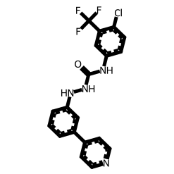 O=C(NNc1cccc(-c2ccncc2)c1)Nc1ccc(Cl)c(C(F)(F)F)c1